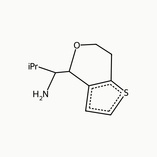 CC(C)C(N)C1OCCc2sccc21